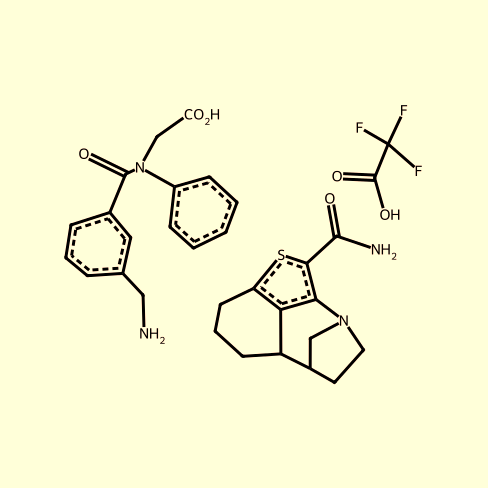 NC(=O)c1sc2c3c1N1CCC(C1)C3CCC2.NCc1cccc(C(=O)N(CC(=O)O)c2ccccc2)c1.O=C(O)C(F)(F)F